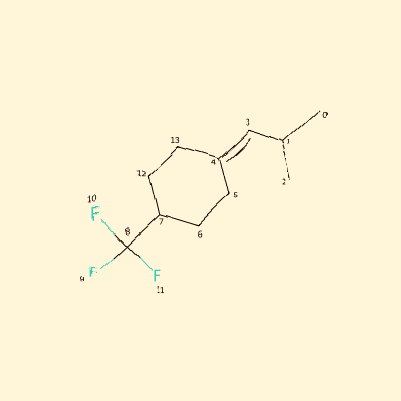 CC(C)C=C1CCC(C(F)(F)F)CC1